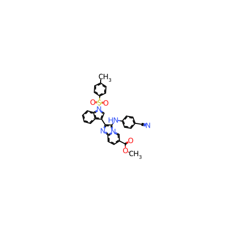 COC(=O)c1ccc2nc(-c3cn(S(=O)(=O)c4ccc(C)cc4)c4ccccc34)c(Nc3ccc(C#N)cc3)n2c1